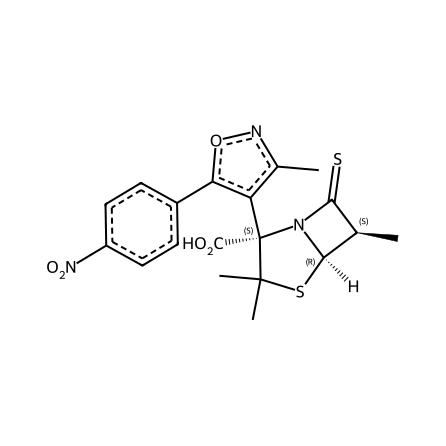 Cc1noc(-c2ccc([N+](=O)[O-])cc2)c1[C@@]1(C(=O)O)N2C(=S)[C@@H](C)[C@H]2SC1(C)C